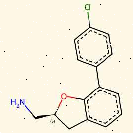 NC[C@@H]1Cc2cccc(-c3ccc(Cl)cc3)c2O1